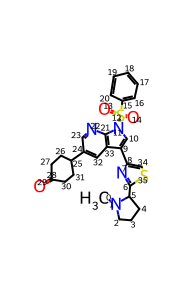 CN1CCCC1c1nc(-c2cn(S(=O)(=O)c3ccccc3)c3ncc(C4CCC(=O)CC4)cc23)cs1